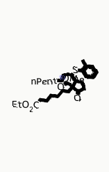 CCCCC/C=C/C(Sc1ccccc1C)C1CCC(=O)C1(CCCCCCC(=O)OCC)C(=O)OC